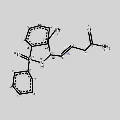 CC(C)C[C@@H](/C=C/CC(N)=O)NP(=O)(c1ccccc1)c1ccccc1